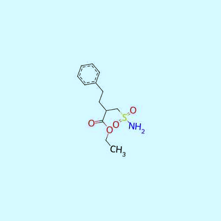 CCOC(=O)C(CCc1ccccc1)CS(N)(=O)=O